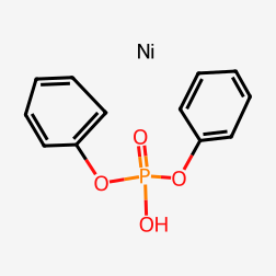 O=P(O)(Oc1ccccc1)Oc1ccccc1.[Ni]